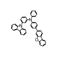 c1ccc(N(c2ccc(-c3ccc4c(c3)oc3ccccc34)cc2)c2cccc(-n3c4ccccc4c4ccccc43)c2)cc1